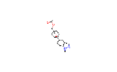 CC(=O)OCC12CCC(c3ccc4c(cnn4C)c3)(CC1)OC2